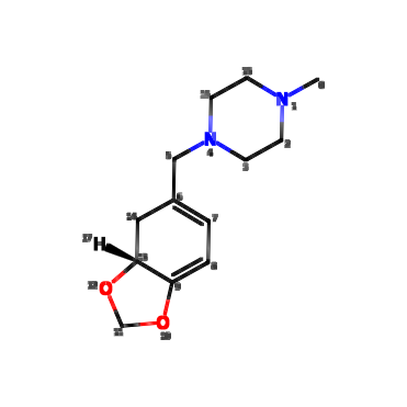 CN1CCN(CC2=CC=C3OCO[C@@H]3C2)CC1